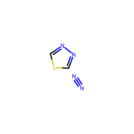 N#N.c1nncs1